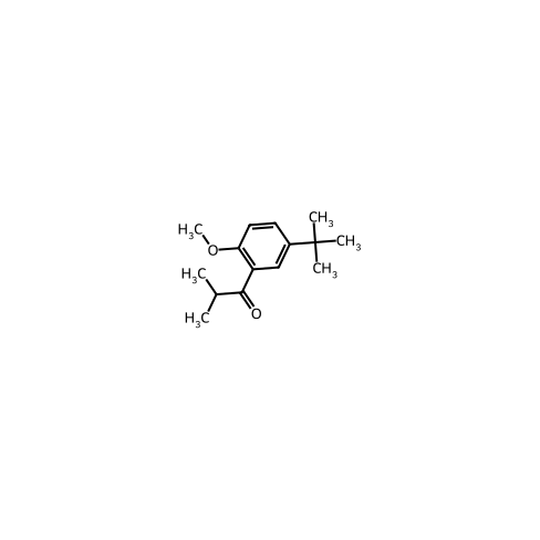 COc1ccc(C(C)(C)C)cc1C(=O)C(C)C